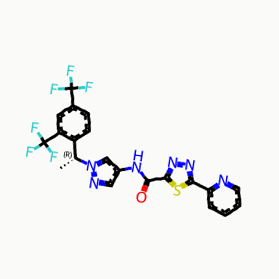 C[C@H](c1ccc(C(F)(F)F)cc1C(F)(F)F)n1cc(NC(=O)c2nnc(-c3ccccn3)s2)cn1